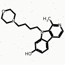 Cc1nccc2c3ccc(O)cc3n(CCCCN3CCOCC3)c12